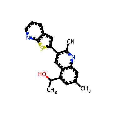 Cc1cc(C(C)O)c2cc(-c3cc4cccnc4s3)c(C#N)nc2c1